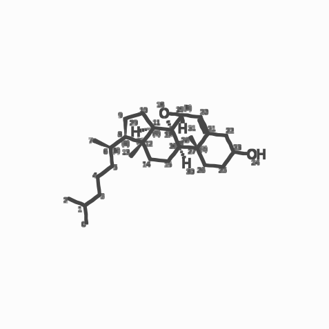 CC(C)CCC[C@@H](C)[C@H]1CC[C@@H]2[C@]1(C)CC[C@H]1[C@@]23O[C@@H]3C=C2CC(O)CC[C@@]21C